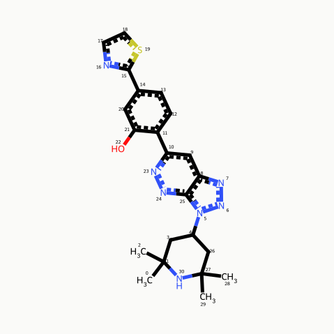 CC1(C)CC(n2nnc3cc(-c4ccc(-c5nccs5)cc4O)nnc32)CC(C)(C)N1